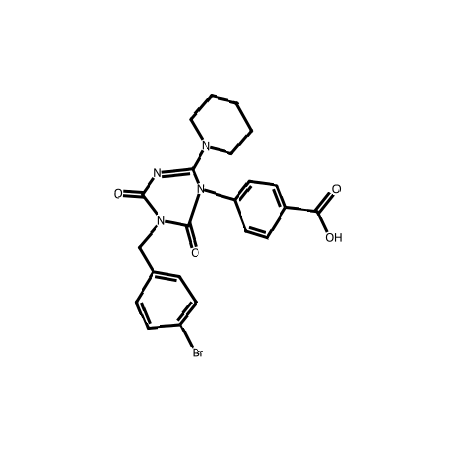 O=C(O)c1ccc(-n2c(N3CCCCC3)nc(=O)n(Cc3ccc(Br)cc3)c2=O)cc1